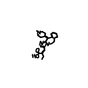 CCC(=Cc1cnc2n1CCc1ccccc1C2=C1CCN(C)CC1)C(=O)O